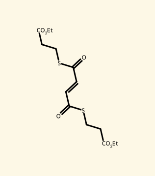 CCOC(=O)CCSC(=O)/C=C/C(=O)SCCC(=O)OCC